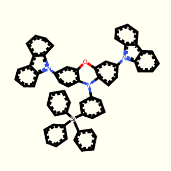 c1ccc([Si](c2ccccc2)(c2ccccc2)c2cccc(N3c4ccc(-n5c6ccccc6c6ccccc65)cc4Oc4cc(-n5c6ccccc6c6ccccc65)ccc43)c2)cc1